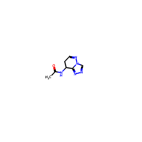 CC(=O)NC1C[C]=Nn2cnnc21